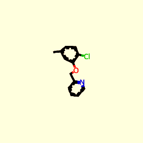 Cc1ccc(Cl)c(OCc2ccccn2)c1